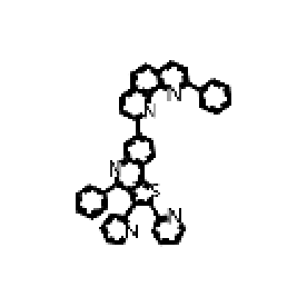 c1ccc(-c2ccc3ccc4ccc(-c5ccc6c(c5)nc(-c5ccccc5)c5c(-c7ccccn7)c(-c7ccccn7)sc56)nc4c3n2)cc1